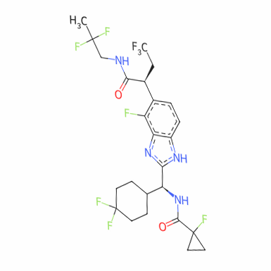 CC(F)(F)CNC(=O)[C@@H](CC(F)(F)F)c1ccc2[nH]c([C@@H](NC(=O)C3(F)CC3)C3CCC(F)(F)CC3)nc2c1F